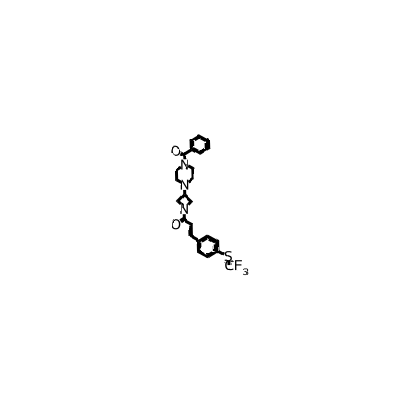 O=C(C=Cc1ccc(SC(F)(F)F)cc1)N1CC(N2CCN(C(=O)c3ccccc3)CC2)C1